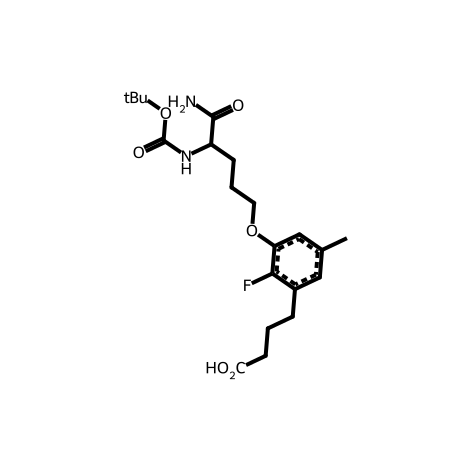 Cc1cc(CCCC(=O)O)c(F)c(OCCCC(NC(=O)OC(C)(C)C)C(N)=O)c1